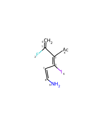 C=C(F)/C(C(C)=O)=C(I)\C=C/N